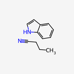 CCCC#N.c1ccc2[nH]ccc2c1